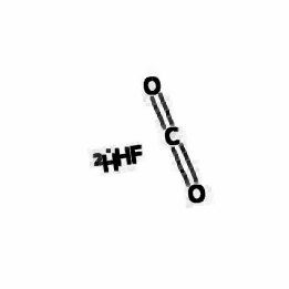 F.O=C=O.[2H]